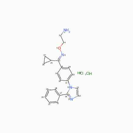 Cl.Cl.NCCO/N=C(/c1ccc(-n2ccnc2-c2ccccc2)cc1)C1CC1